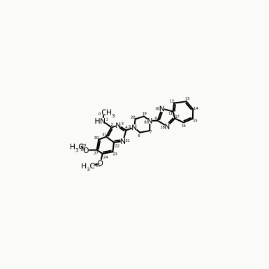 CNc1nc(N2CCN(c3nc4cccccc-4n3)CC2)nc2cc(OC)c(OC)cc12